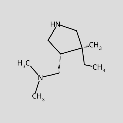 CC[C@]1(C)CNC[C@H]1CN(C)C